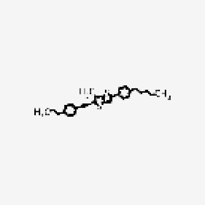 CCCCCc1ccc(-c2cc3sc(C#Cc4ccc(CCC)cc4)c(C)c3s2)cc1